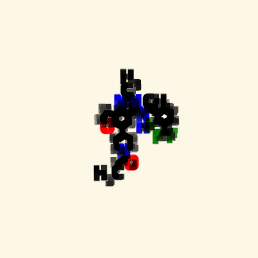 CCC(=O)N1CC=C(c2cc3c(NC(C)c4cccc(C(F)F)c4F)nc(C)nc3c3c2OCC3)CC1